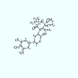 CCc1ccc(-c2cc(Cl)c(Cl)c(Cl)c2)cc1C1=C(C)C(C)(C)OC(C)(C)C1=O